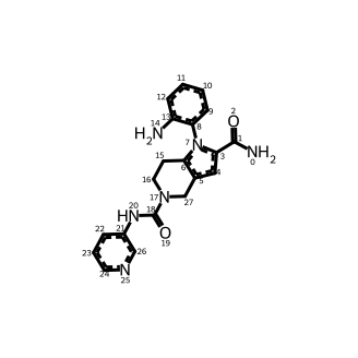 NC(=O)c1cc2c(n1-c1ccccc1N)CCN(C(=O)Nc1cccnc1)C2